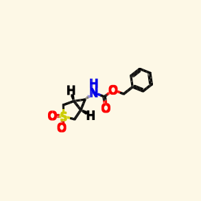 O=C(N[C@@H]1[C@@H]2CS(=O)(=O)C[C@@H]21)OCc1ccccc1